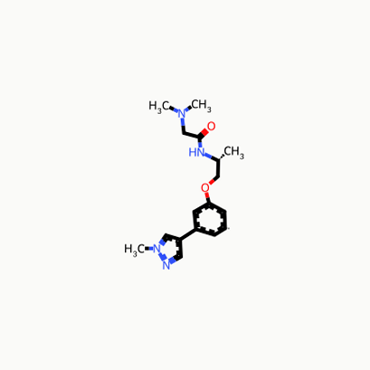 C[C@H](COc1c[c]cc(-c2cnn(C)c2)c1)NC(=O)CN(C)C